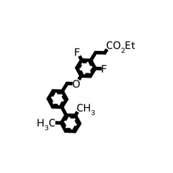 CCOC(=O)CCc1c(F)cc(OCc2cccc(-c3c(C)cccc3C)c2)cc1F